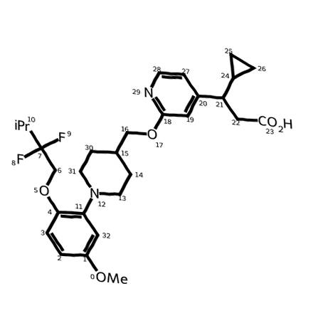 COc1ccc(OCC(F)(F)C(C)C)c(N2CCC(COc3cc(C(CC(=O)O)C4CC4)ccn3)CC2)c1